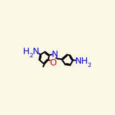 Cc1cc(N)cc2nc(-c3ccc(N)cc3)oc12